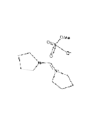 C(N1CCCC1)=[N+]1CCCC1.COS(=O)(=O)[O-]